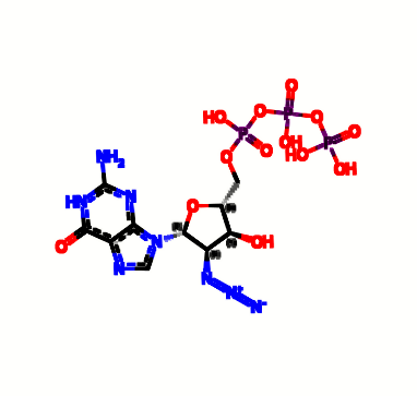 [N-]=[N+]=N[C@@H]1[C@H](O)[C@@H](COP(=O)(O)OP(=O)(O)OP(=O)(O)O)O[C@H]1n1cnc2c(=O)[nH]c(N)nc21